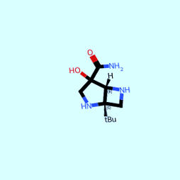 CC(C)(C)[C@]12CN[C@H]1C(O)(C(N)=O)CN2